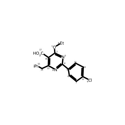 CCOc1nc(-c2ccc(Cl)cc2)nc(CC(C)C)c1C(=O)O